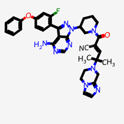 CC(C)(/C=C(\C#N)C(=O)N1CCCC(n2nc(-c3ccc(Oc4ccccc4)cc3F)c3c(N)ncnc32)C1)N1CCn2ccnc2C1